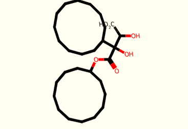 O=C(O)C(O)C(O)(C(=O)OC1CCCCCCCCCCC1)C1CCCCCCCCCCC1